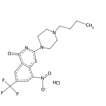 CCCCN1CCN(c2nc(=O)c3cc(C(F)(F)F)cc([N+](=O)[O-])c3s2)CC1.Cl